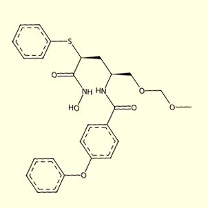 COCOC[C@H](C[C@H](Sc1ccccc1)C(=O)NO)NC(=O)c1ccc(Oc2ccccc2)cc1